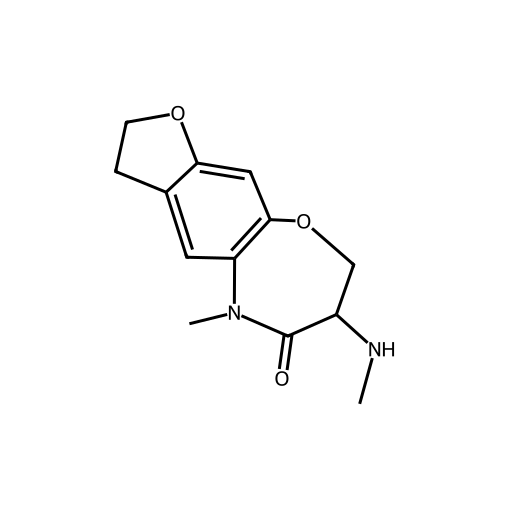 CNC1COc2cc3c(cc2N(C)C1=O)CCO3